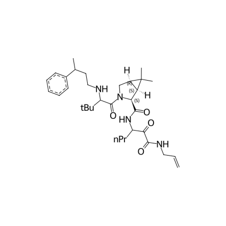 C=CCNC(=O)C(=O)C(CCC)NC(=O)[C@@H]1[C@H]2[C@@H](CN1C(=O)C(NCCC(C)c1ccccc1)C(C)(C)C)C2(C)C